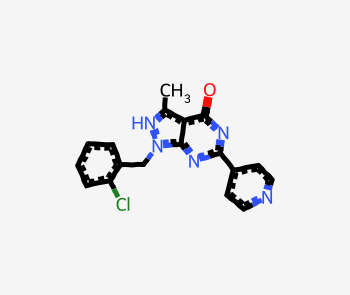 Cc1[nH]n(Cc2ccccc2Cl)c2nc(-c3ccncc3)nc(=O)c1-2